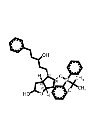 CC(C)(C)[Si](O[C@@H]1C[C@@H]2OC(O)C[C@@H]2[C@H]1CCC(O)CCc1ccccc1)(c1ccccc1)c1ccccc1